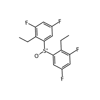 CCc1c(F)cc(F)cc1[S+]([O-])c1cc(F)cc(F)c1CC